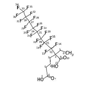 CCC(CCCC(=O)O)(C(=O)O)C(F)(F)C(F)(F)C(F)(F)C(F)(F)C(F)(F)C(F)(F)C(F)(F)C(F)(F)F